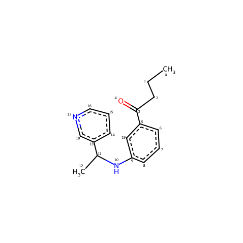 CCCC(=O)c1cccc(NC(C)c2cccnc2)c1